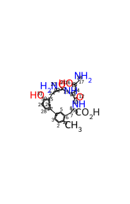 Cc1ccc2cc1C[C@@H](C(=O)O)NC(=O)[C@H](C[C@@H](O)CN)NC(=O)[C@@H](N)Cc1cc-2ccc1O